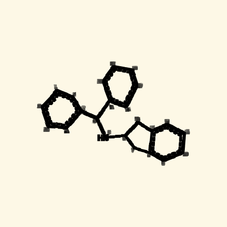 c1ccc(C(NC2Cc3ccccc3C2)c2ccccc2)cc1